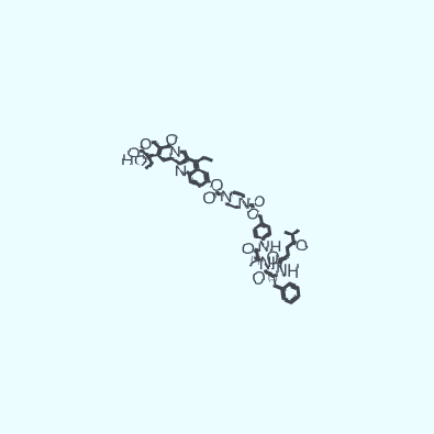 CCc1c2c(nc3ccc(OC(=O)N4CCN(C(=O)OCc5ccc(NC(=O)[C@H](C)NC(=O)[C@H](Cc6ccccc6)NC(=O)CCC(=O)C(C)C)cc5)CC4)cc13)-c1cc3c(c(=O)n1C2)COC(=O)[C@]3(O)CC